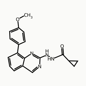 COc1ccc(-c2cccc3cnc(NNC(=O)C4CC4)nc23)cc1